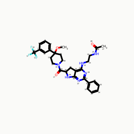 COC1(c2cccc(C(F)(F)F)c2)CCN(C(=O)C2Cc3c(NCCNC(C)=O)nc(-c4ccccc4)nc3N2)CC1